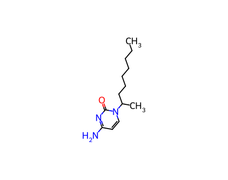 CCCCCCCC(C)n1ccc(N)nc1=O